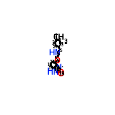 Cc1ccc(CNCCOc2cccc3c2[N]C(=O)N3)cc1